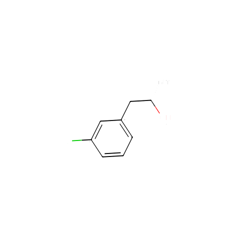 CCC[C@H](O)Cc1cccc(Cl)c1